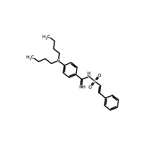 CCCCN(CCCC)c1ccc(C(=N)NS(=O)(=O)/C=C/c2ccccc2)cc1